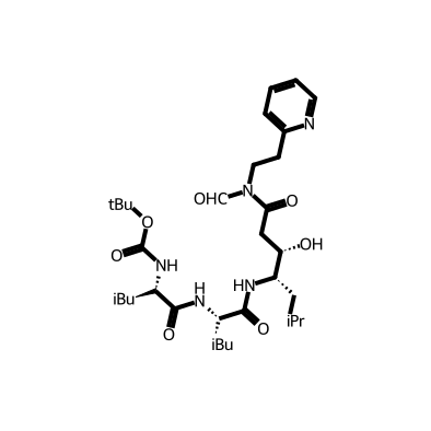 CC[C@H](C)[C@H](NC(=O)OC(C)(C)C)C(=O)N[C@H](C(=O)N[C@@H](CC(C)C)[C@@H](O)CC(=O)N(C=O)CCc1ccccn1)[C@@H](C)CC